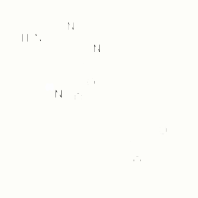 CO/N=C\c1c(N)ncnc1OCc1ccc(OC)c(OC)c1